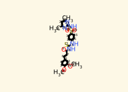 COc1ccc(/C=C/C(=O)NC(=S)Nc2ccc(S(=O)(=O)Nc3nc(C)cc(C)n3)cc2)cc1OC